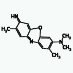 Cc1cc2nc3cc(C)c(=N)cc-3oc2cc1N(C)C